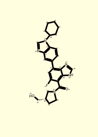 O=C(c1c(F)cc(-c2ccc3c(c2)ncn3C2CCCCC2)c2nc[nH]c12)N1CC[C@H](CO)C1